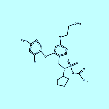 COCCOc1ccc(CN(C2CCCC2)S(=O)(=O)OC(N)=O)c(Oc2ncc(C(F)(F)F)cc2Cl)c1